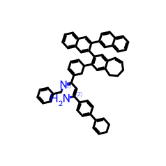 N/C(=C\C(=N/Cc1ccccc1)C1=CC=CC(c2cc3c(cc2-c2cc4ccccc4cc2-c2ccc4ccccc4c2)C=CCCC3)C1)c1ccc(C2=CCCC=C2)cc1